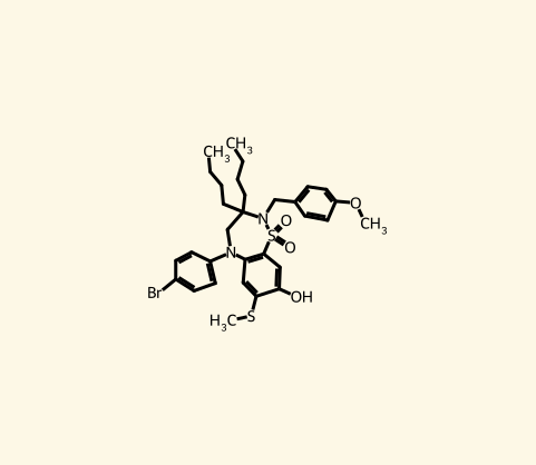 CCCCC1(CCCC)CN(c2ccc(Br)cc2)c2cc(SC)c(O)cc2S(=O)(=O)N1Cc1ccc(OC)cc1